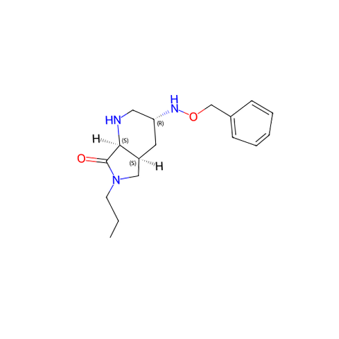 CCCN1C[C@@H]2C[C@@H](NOCc3ccccc3)CN[C@@H]2C1=O